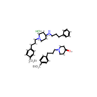 CCOC(=O)c1ccc(CCCN2CCC(=O)CC2)cc1.CCOC(=O)c1ccc(CCCN2CCC(NCCCc3ccccc3)CC2)cc1.Cl